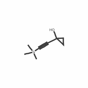 C[Si](C)(C)C#CC1(O)CC1